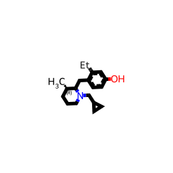 CCc1cc(O)ccc1CC1[C@H](C)CCCN1CC1CC1